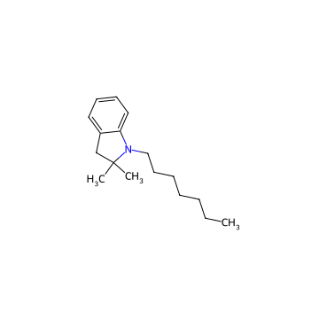 CCCCCCCN1c2ccccc2CC1(C)C